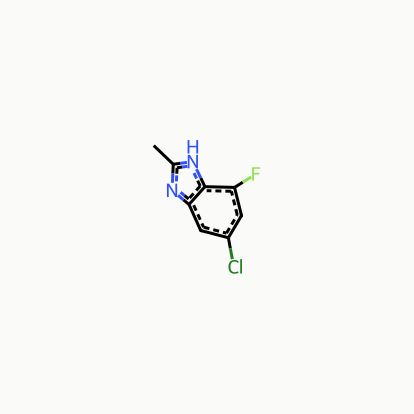 Cc1nc2cc(Cl)cc(F)c2[nH]1